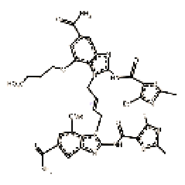 CCc1nc(C)oc1C(=O)Nc1nc2cc(C(N)=O)cc(OC)c2n1C/C=C/Cn1c(NC(=O)c2sc(C)nc2CC)nc2cc(C(N)=O)cc(OCCCC(=O)O)c21